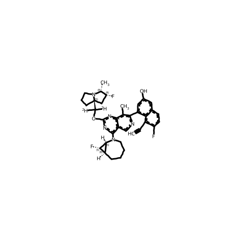 [2H]C([2H])(Oc1nc(N2CCCC[C@H]3[C@H](F)[C@H]32)c2cnc(-c3cc(O)cc4ccc(F)c(C#C)c34)c(C)c2n1)[C@@]12CCCN1[C@H](C)[C@H](F)C2